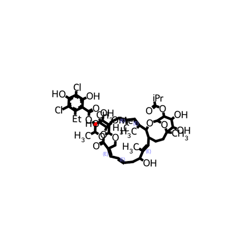 CCc1c(Cl)c(O)c(Cl)c(O)c1C(=O)OC1C(C)OC(OC/C2=C\C=C\CC(O)/C(C)=C/C3CCC4(C)OC(OC3/C(C)=C/C(C)=C/CC(C(C)O)OC2=O)C(OC(=O)C(C)C)C(O)C4O)C(OC)C1O